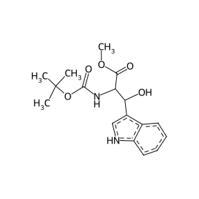 COC(=O)C(NC(=O)OC(C)(C)C)C(O)c1c[nH]c2ccccc12